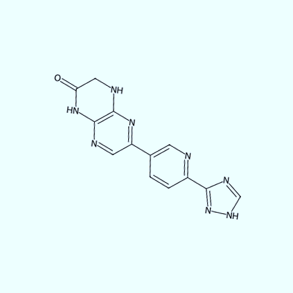 O=C1CNc2nc(-c3ccc(-c4nc[nH]n4)nc3)cnc2N1